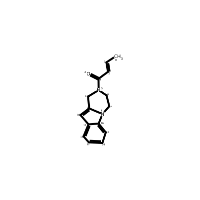 CC=CC(=O)N1CCn2c(cc3ccccc32)C1